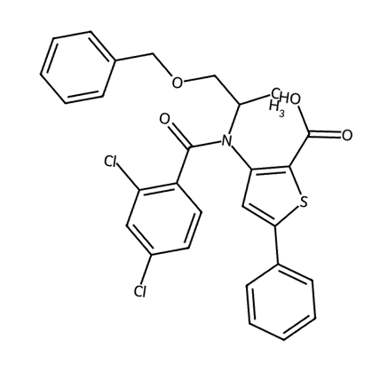 CC(COCc1ccccc1)N(C(=O)c1ccc(Cl)cc1Cl)c1cc(-c2ccccc2)sc1C(=O)O